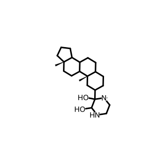 C[C@@]12CCCC1C1CCC3CCC(C4(O)[N]CCNC4O)C[C@]3(C)C1CC2